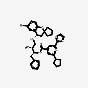 CCc1ccc2c(c1)[C@@H](NC[C@H](O)[C@H](Cc1ccccc1)NC(=O)c1cc(-c3nccs3)nc(C3CCCC3)c1)CC1(CCCC1)O2